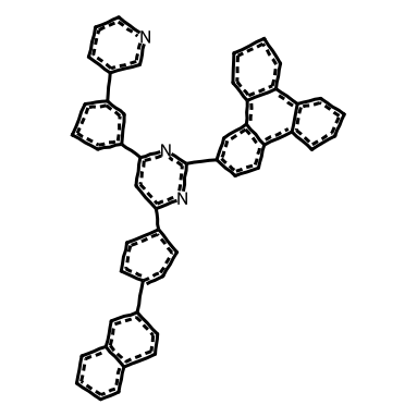 c1cncc(-c2cccc(-c3cc(-c4ccc(-c5ccc6ccccc6c5)cc4)nc(-c4ccc5c6ccccc6c6ccccc6c5c4)n3)c2)c1